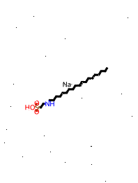 CCCCCCCCC=CCCCCCCCCCNCCS(=O)(=O)O.[Na]